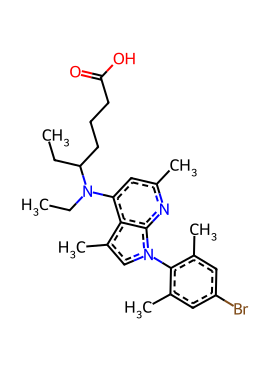 CCC(CCCC(=O)O)N(CC)c1cc(C)nc2c1c(C)cn2-c1c(C)cc(Br)cc1C